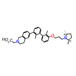 Cc1c(OCCCN2[C@H](C)CC[C@H]2C)cccc1-c1cccc(-c2ccc3c(c2)CCN(CC(=O)O)C3)c1C